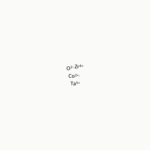 [Co+2].[O-2].[Ta+5].[Zr+4]